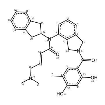 Cc1cc(C(=O)N2Cc3cccc(N(C(=O)/C=C/CN(C)C)C4Cc5ccccc5C4)c3C2)c(O)cc1O